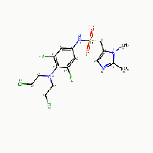 Cn1c(CS(=O)(=O)Nc2cc(F)c(N(CCCl)CCCl)c(F)c2)cnc1[N+](=O)[O-]